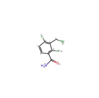 NC(=O)c1ccc(F)c(CBr)c1F